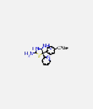 COc1ccc(C2(c3ccccn3)SC(N)NC2N)cc1